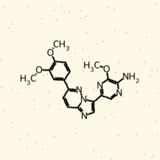 COc1ccc(-c2ccc3ncc(-c4cnc(N)c(OC)n4)n3n2)cc1OC